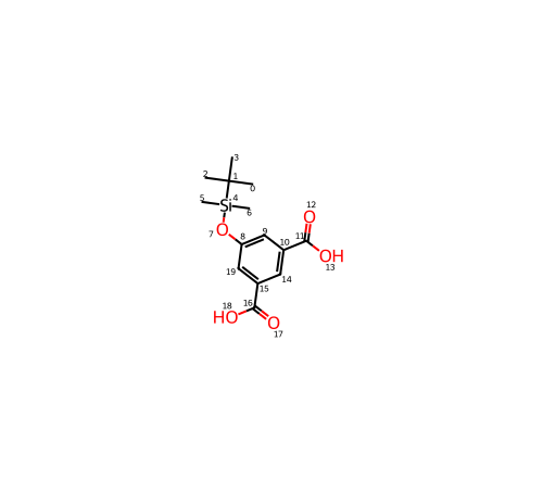 CC(C)(C)[Si](C)(C)Oc1cc(C(=O)O)cc(C(=O)O)c1